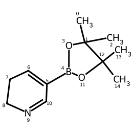 CC1(C)OB(C2=CCCN=C2)OC1(C)C